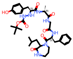 CC(C)CC1C(=O)NCCCN1C(=O)[C@H](Cc1ccccc1)NC(=O)CNC(=O)[C@@H](C)NC(=O)[C@H](Cc1ccc(O)cc1)NNC(=O)OC(C)(C)C